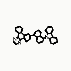 c1cc(-n2c3ccccc3c3ccccc32)c2cccc(-c3ccc4c(c3)c3ccccc3c3nccnc43)c2c1